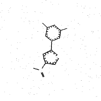 O=[N+]([O-])c1csc(-c2cc(O)cc(O)c2)c1